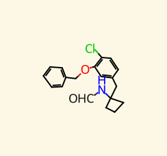 O=CNC1(Cc2ccc(Cl)c(OCc3ccccc3)c2)CCC1